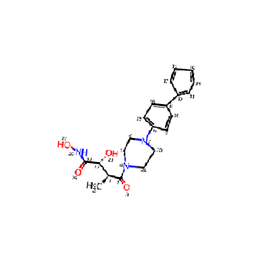 C[C@H](C(=O)N1CCN(c2ccc(-c3ccccc3)cc2)CC1)[C@@H](O)C(=O)NO